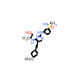 COc1ccc(C#Cc2cnc(Nc3cccc(S(C)(=N)=O)c3)nc2NC(C)CO)cc1